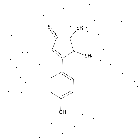 Oc1ccc(C2=CC(=S)C(S)[C]2S)cc1